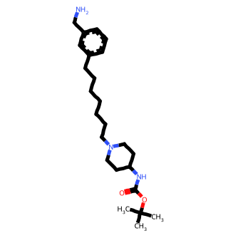 CC(C)(C)OC(=O)NC1CCN(CCCCCCCc2cccc(CN)c2)CC1